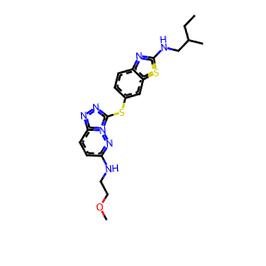 CCC(C)CNc1nc2ccc(Sc3nnc4ccc(NCCOC)nn34)cc2s1